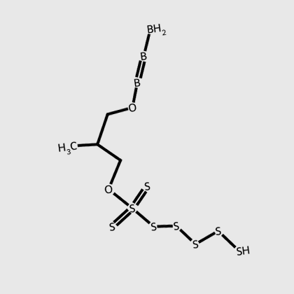 BB=BOCC(C)COS(=S)(=S)SSSSS